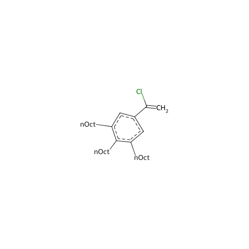 C=C(Cl)c1cc(CCCCCCCC)c(CCCCCCCC)c(CCCCCCCC)c1